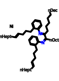 CCCCCCCC=CCCCc1ccccc1N=C(CCCCCCCC)C(CCCCCCCCCCCCCCC)=Nc1ccccc1CCCC=CCCCCCCC.[Ni]